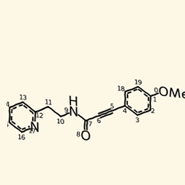 COc1ccc(C#CC(=O)NCCc2ccccn2)cc1